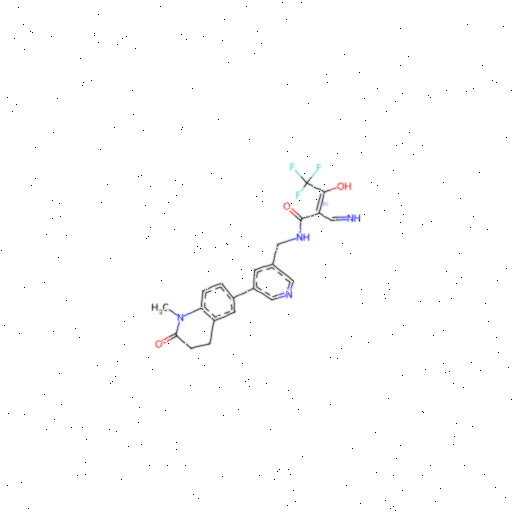 CN1C(=O)CCc2cc(-c3cncc(CNC(=O)/C(C=N)=C(/O)C(F)(F)F)c3)ccc21